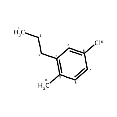 CCCc1cc(Cl)ccc1C